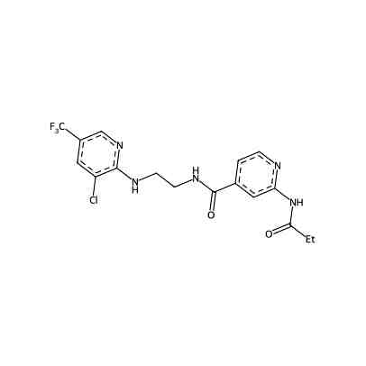 CCC(=O)Nc1cc(C(=O)NCCNc2ncc(C(F)(F)F)cc2Cl)ccn1